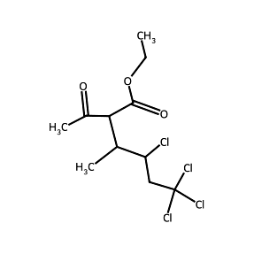 CCOC(=O)C(C(C)=O)C(C)C(Cl)CC(Cl)(Cl)Cl